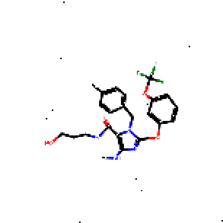 CNc1nc(Oc2cccc(OC(F)(F)F)c2)n(Cc2ccc(C)cc2)c1C(=O)NCCCO